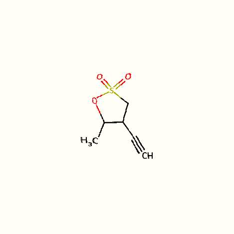 C#CC1CS(=O)(=O)OC1C